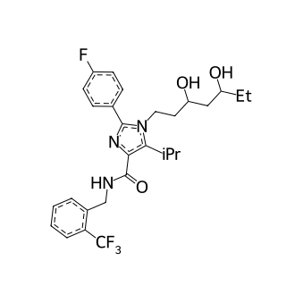 [CH2]CC(O)CC(O)CCn1c(-c2ccc(F)cc2)nc(C(=O)NCc2ccccc2C(F)(F)F)c1C(C)C